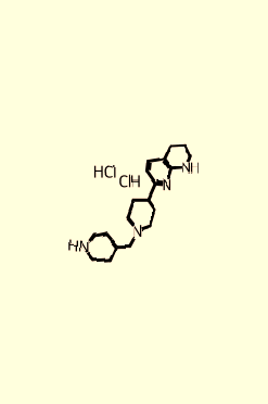 Cl.Cl.c1cc2c(nc1C1CCN(CC3CCNCC3)CC1)NCCC2